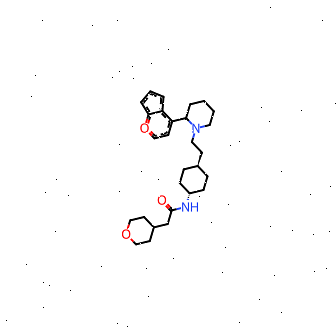 O=C(CC1CCOCC1)N[C@H]1CC[C@H](CCN2CCCCC2c2ccoc3cccc2-3)CC1